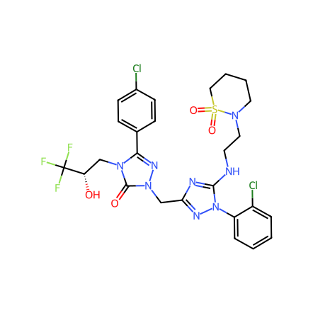 O=c1n(Cc2nc(NCCN3CCCCS3(=O)=O)n(-c3ccccc3Cl)n2)nc(-c2ccc(Cl)cc2)n1C[C@H](O)C(F)(F)F